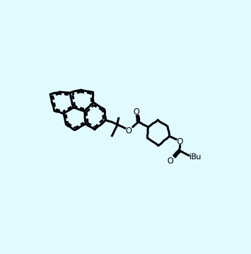 CCC(C)C(=O)OC1CCC(C(=O)OC(C)(C)c2cc3ccc4cccc5ccc(c2)c3c45)CC1